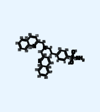 NS(=O)(=O)c1ccc(CCN(Cc2ccc3ccccc3n2)Cc2ccc3ccccc3n2)cc1